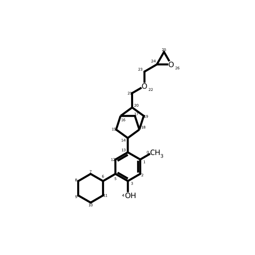 Cc1cc(O)c(C2CCCCC2)cc1C1CC2CC1CC2COCC1CO1